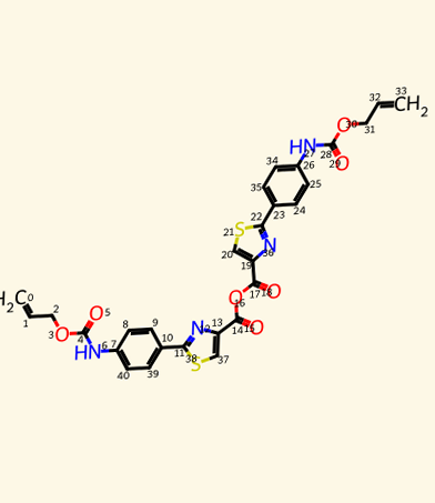 C=CCOC(=O)Nc1ccc(-c2nc(C(=O)OC(=O)c3csc(-c4ccc(NC(=O)OCC=C)cc4)n3)cs2)cc1